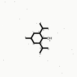 CC1CC(C(C)C)C(O)C(C(C)C)C1